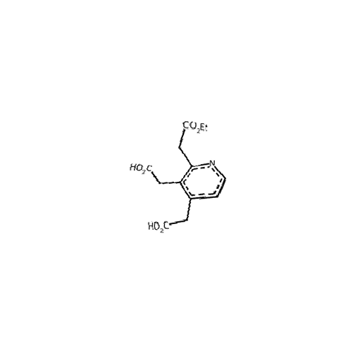 CCOC(=O)Cc1nccc(CC(=O)O)c1CC(=O)O